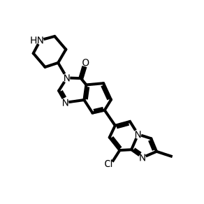 Cc1cn2cc(-c3ccc4c(=O)n(C5CCNCC5)cnc4c3)cc(Cl)c2n1